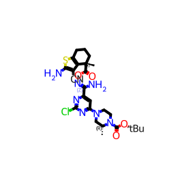 C[C@@H]1CN(c2cc(/C(N)=N/OC(=O)[C@@]3(C)CCCc4sc(N)c(C#N)c43)nc(Cl)n2)CCN1C(=O)OC(C)(C)C